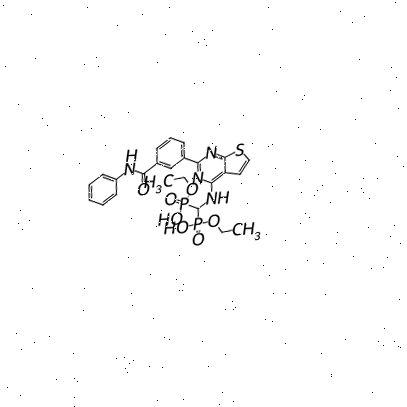 CCOP(=O)(O)C(Nc1nc(-c2cccc(C(=O)Nc3ccccc3)c2)nc2sccc12)P(=O)(O)OCC